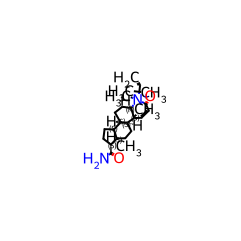 C=CC(C)(C)[N+]1(C)C(=O)C=C[C@@]2(C)[C@H]1CC[C@@H]1[C@@H]2CC[C@]2(C)[C@@H](C(N)=O)CC[C@@H]12